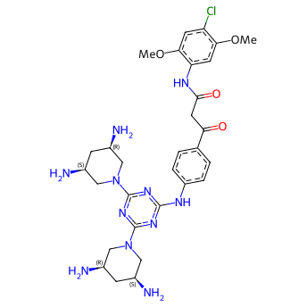 COc1cc(NC(=O)CC(=O)c2ccc(Nc3nc(N4C[C@H](N)C[C@H](N)C4)nc(N4C[C@H](N)C[C@H](N)C4)n3)cc2)c(OC)cc1Cl